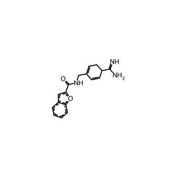 N=C(N)C1C=CC(CNC(=O)c2cc3ccccc3o2)=CC1